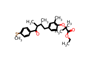 CCOC(=O)C(C)(C)Oc1ccc(C[C@@H](C)C(C)C(=O)c2ccc(SC)cc2)cc1C